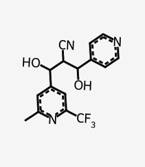 Cc1cc(C(O)C(C#N)C(O)c2ccncc2)cc(C(F)(F)F)n1